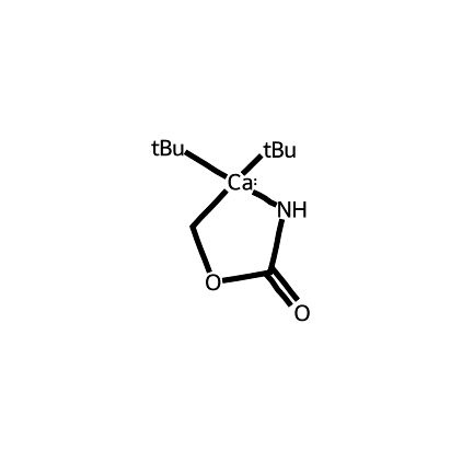 C[C](C)(C)[Ca]1([C](C)(C)C)[CH2]OC(=O)[NH]1